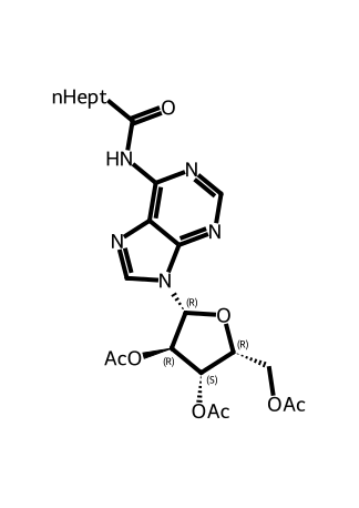 CCCCCCCC(=O)Nc1ncnc2c1ncn2[C@@H]1O[C@H](COC(C)=O)[C@H](OC(C)=O)[C@H]1OC(C)=O